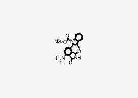 CC(C)(C)OC(=O)n1c(-c2ccc(N)c3c2C(=O)NC3=O)c(I)c2ccccc21